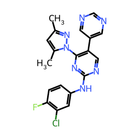 Cc1cc(C)n(-c2nc(Nc3ccc(F)c(Cl)c3)ncc2-c2cncnc2)n1